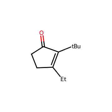 CCC1=C(C(C)(C)C)C(=O)CC1